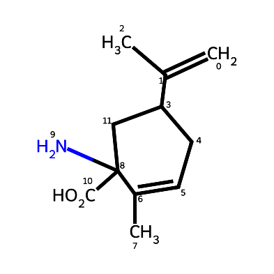 C=C(C)C1CC=C(C)C(N)(C(=O)O)C1